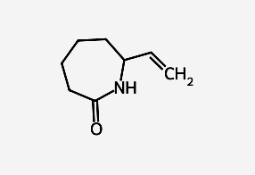 C=CC1CCCCC(=O)N1